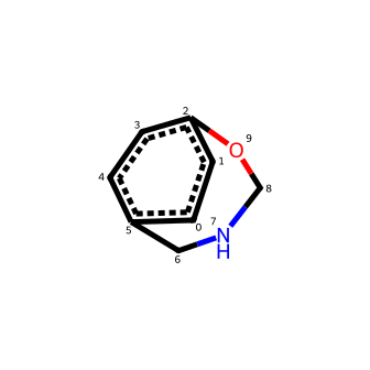 c1cc2ccc1CNCO2